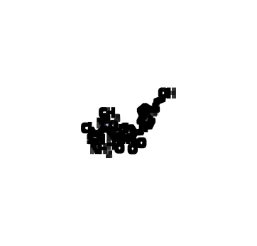 CO/N=C(\C(=O)N[C@@H]1C(=O)N2C(C(=O)[O-])=C(Cn3cc[n+]4c(SCCO)ccc-4c3)CS[C@@H]12)c1nc(N)sc1Cl